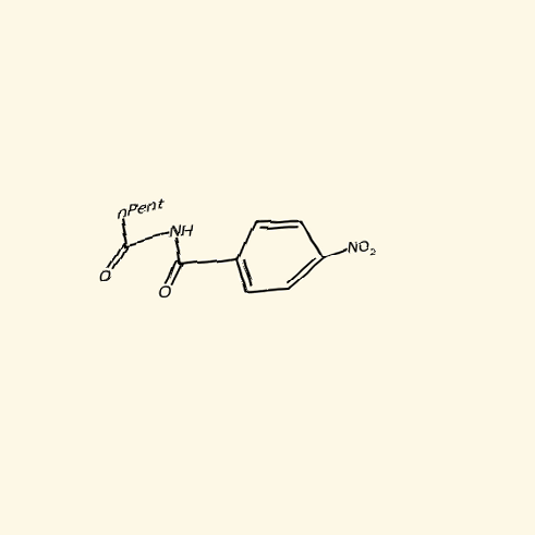 CCCCCC(=O)NC(=O)c1ccc([N+](=O)[O-])cc1